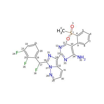 CS(=O)(=O)c1ccccc1-c1cnc(-c2nc(C(F)c3cccc(F)c3F)n3ncccc23)nc1N